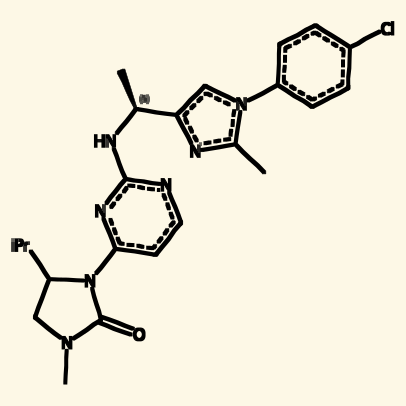 Cc1nc([C@H](C)Nc2nccc(N3C(=O)N(C)CC3C(C)C)n2)cn1-c1ccc(Cl)cc1